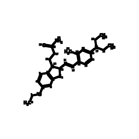 CCOc1ccc2c(c1)SC(N=Nc1ccc(N(CC)CC)cc1C)N2CCC(N)=O